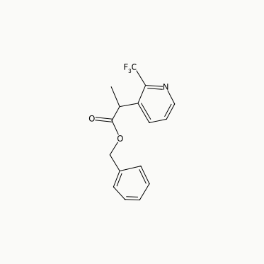 CC(C(=O)OCc1ccccc1)c1cccnc1C(F)(F)F